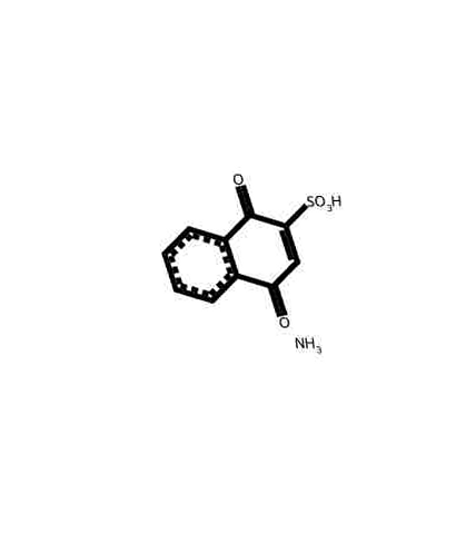 N.O=C1C=C(S(=O)(=O)O)C(=O)c2ccccc21